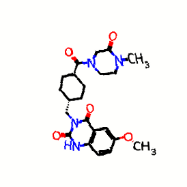 COc1ccc2[nH]c(=O)n(C[C@H]3CC[C@H](C(=O)N4CCN(C)C(=O)C4)CC3)c(=O)c2c1